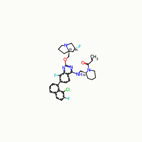 C=CC(=O)N1CCCC[C@H]1CNc1nc(OC[C@@]23CCCN2C[C@H](F)C3)nc2c(F)c(-c3cccc4ccc(F)c(Cl)c34)ccc12